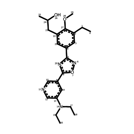 CCc1cc(-c2noc(-c3cncc(N(CC)CC)c3)n2)cc(CC(C)O)c1OC